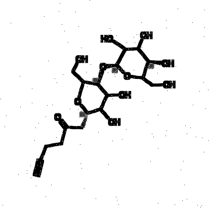 C#CCCC(=O)C[C@@H]1OC(CO)[C@@H](O[C@@H]2OC(CO)[C@H](O)C(O)C2O)C(O)C1O